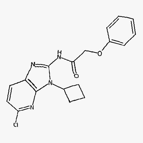 O=C(COc1ccccc1)Nc1nc2ccc(Cl)nc2n1C1CCC1